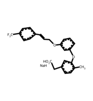 Cc1ccc(CC(=O)O)cc1Oc1cccc(OC/C=C/c2ccc(C(F)(F)F)cc2)c1.[NaH]